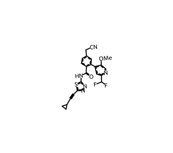 COc1cnc(C(F)F)cc1-c1cc(CC#N)ccc1C(=O)Nc1nnc(C#CC2CC2)s1